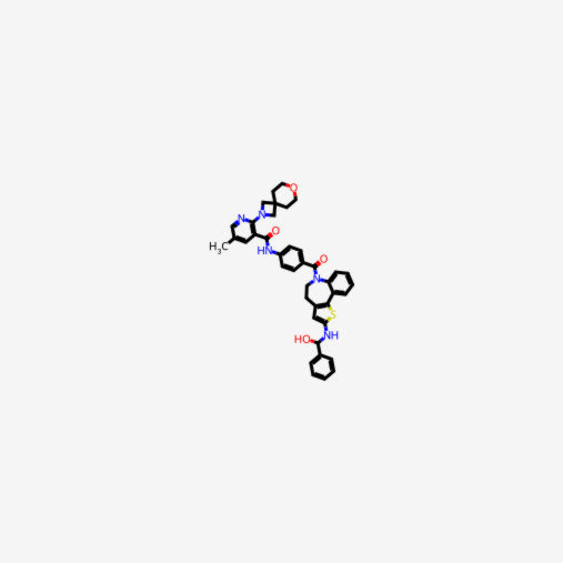 Cc1cnc(N2CC3(CCOCC3)C2)c(C(=O)Nc2ccc(C(=O)N3CCc4cc(NC(O)c5ccccc5)sc4-c4ccccc43)cc2)c1